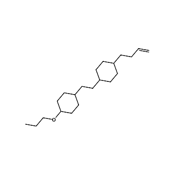 C=CCCC1CCC(CCC2CCC(OCCC)CC2)CC1